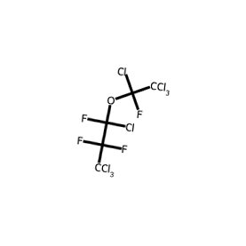 FC(Cl)(OC(F)(Cl)C(F)(F)C(Cl)(Cl)Cl)C(Cl)(Cl)Cl